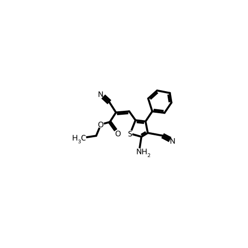 CCOC(=O)C(C#N)=Cc1sc(N)c(C#N)c1-c1ccccc1